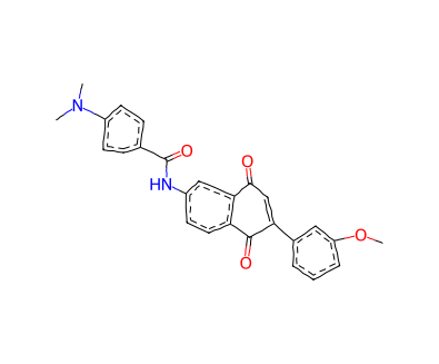 COc1cccc(C2=CC(=O)c3cc(NC(=O)c4ccc(N(C)C)cc4)ccc3C2=O)c1